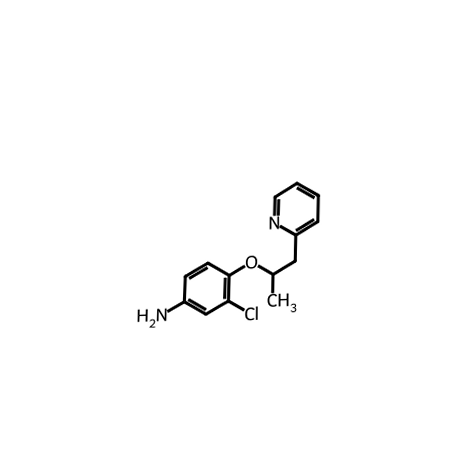 CC(Cc1ccccn1)Oc1ccc(N)cc1Cl